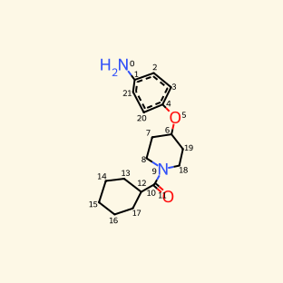 Nc1ccc(OC2CCN(C(=O)C3CCCCC3)CC2)cc1